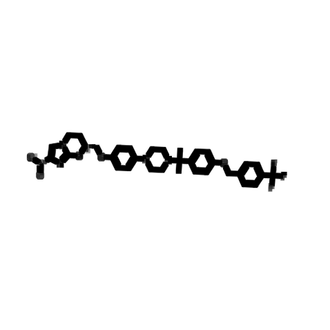 CC(C)(c1ccc(OCc2ccc(C(F)(F)F)cc2)cc1)N1CCN(c2ccc(OC[C@H]3CCn4cc([N+](=O)[O-])nc4O3)cc2)CC1